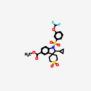 COC(=O)c1ccc2c(c1)C1(CCS(=O)(=O)CC1)C(C1CC1)N2S(=O)(=O)c1cccc(OC(F)F)c1